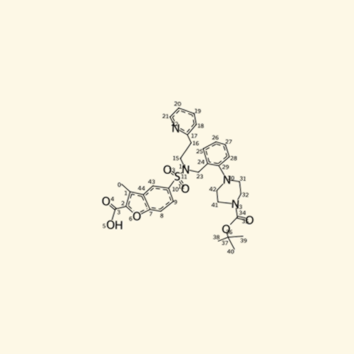 Cc1c(C(=O)O)oc2ccc(S(=O)(=O)N(CCc3ccccn3)Cc3ccccc3N3CCN(C(=O)OC(C)(C)C)CC3)cc12